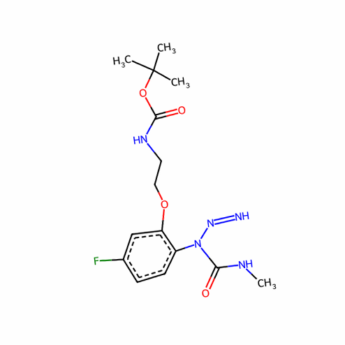 CNC(=O)N(N=N)c1ccc(F)cc1OCCNC(=O)OC(C)(C)C